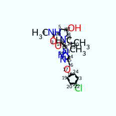 CNC(=O)[C@@H]1C[C@@H](O)CN1C(=O)[C@@H](n1cc(COc2ccc(Cl)cc2)nn1)C(C)(C)C